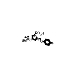 CC(C)(C)[Si](C)(C)O[C@H]1C[C@H](COc2ccc(F)cc2)N(C(=O)O)C1